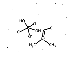 C[N+](C)=CCl.[O-]P(O)(O)(Cl)Cl